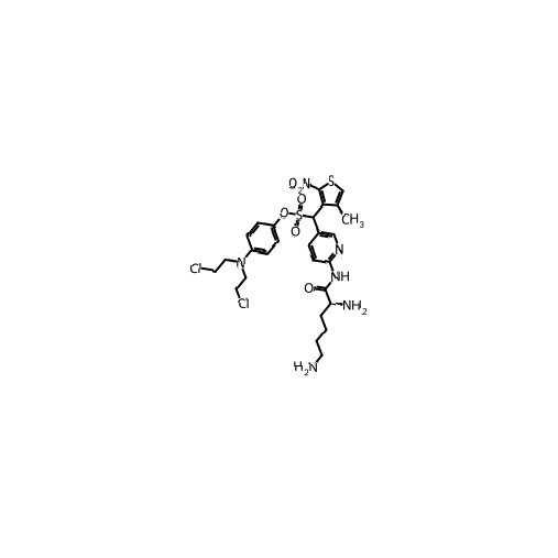 Cc1csc([N+](=O)[O-])c1C(c1ccc(NC(=O)[C@@H](N)CCCCN)nc1)S(=O)(=O)Oc1ccc(N(CCCl)CCCl)cc1